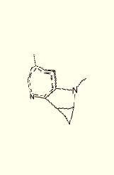 Cc1cnc2c(c1)N(C)C1CC21